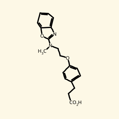 CN(CCOc1ccc(CCC(=O)O)cc1)c1nc2ccccc2o1